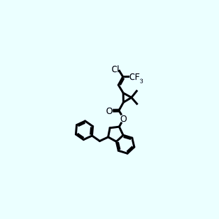 CC1(C)C(/C=C(/Cl)C(F)(F)F)C1C(=O)OC1CC(Cc2ccccc2)c2ccccc21